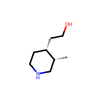 C[C@@H]1CNCC[C@@H]1CCO